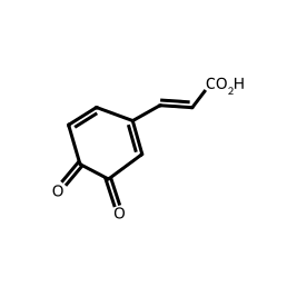 O=C(O)C=CC1=CC(=O)C(=O)C=C1